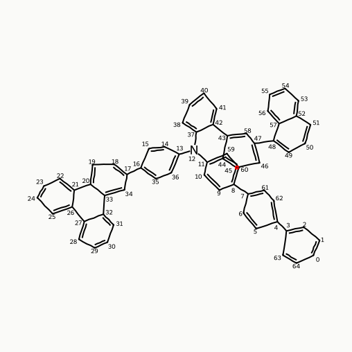 c1ccc(-c2ccc(-c3ccc(N(c4ccc(-c5ccc6c7ccccc7c7ccccc7c6c5)cc4)c4ccccc4-c4cccc(-c5cccc6ccccc56)c4)cc3)cc2)cc1